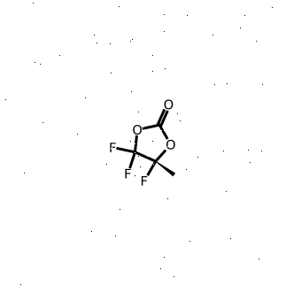 C[C@]1(F)OC(=O)OC1(F)F